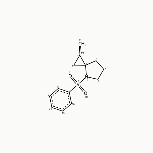 C[C@@H]1CC12CCCN2S(=O)(=O)c1ccccc1